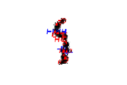 CC(C)(CC(O)COc1ccc(CC2NC(=O)C(Cc3ccc(OC(C)(C)CC4CO4)cc3)NC2=O)cc1)Oc1ccc(CC2NCC(Cc3ccc(OCC4CO4)cc3)NC2=O)cc1